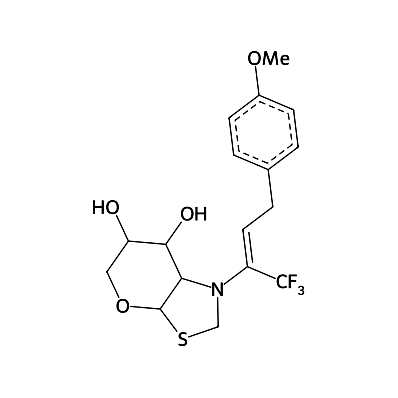 COc1ccc(CC=C(N2CSC3OCC(O)C(O)C32)C(F)(F)F)cc1